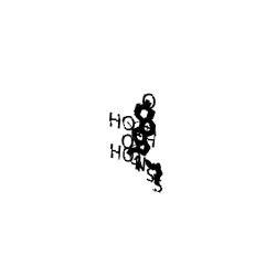 CSc1ccc(CN(C)O[C@]2(C(=O)O)CC[C@H]3[C@@H]4CCC5=CC(=O)C=C[C@]5(C)[C@@]4(F)[C@@H](O)C[C@@]32C)s1